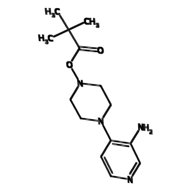 CC(C)(C)C(=O)ON1CCN(c2ccncc2N)CC1